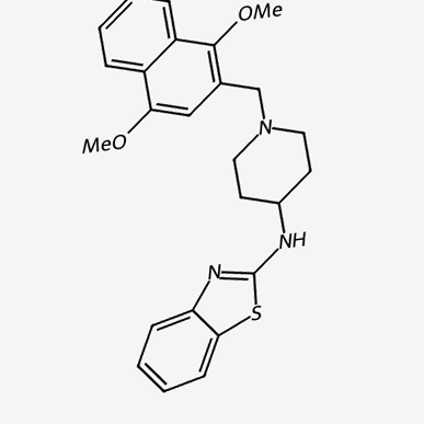 COc1cc(CN2CCC(Nc3nc4ccccc4s3)CC2)c(OC)c2ccccc12